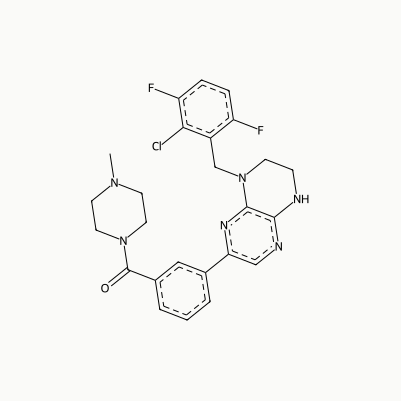 CN1CCN(C(=O)c2cccc(-c3cnc4c(n3)N(Cc3c(F)ccc(F)c3Cl)CCN4)c2)CC1